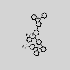 CC1C=CC(C2(c3ccccc3)c3ccccc3-c3ccc(N(c4ccccc4)C4CC=C(c5ccc6c(c5)c5ccccc5n6-c5ccccc5)C[C@H]4C)cc32)=CC1